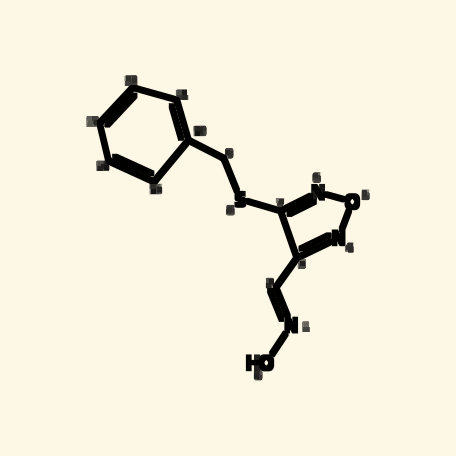 ON=Cc1nonc1SCc1ccccc1